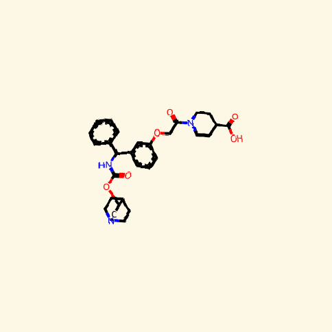 O=C(NC(c1ccccc1)c1cccc(OCC(=O)N2CCC(C(=O)O)CC2)c1)OC1CN2CCC1CC2